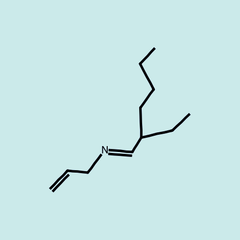 C=CC/N=C/C(CC)CCCC